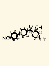 CC(C)N1CCN(C(=O)C2CCN(c3ccc(C#N)cc3)CC2)[C@@H](C)C1